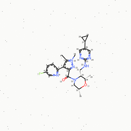 Cc1c(-c2ccc(F)cn2)c(C(=O)N2C[C@@H](C)O[C@@H](C)[C@H]2CNc2ncc(C3CC3)cn2)nn1C